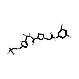 C[C@@H](NC(=O)C1CCN(CC(=O)Nc2cc(Cl)cc(Cl)c2)C1)c1ccc(OCC(F)(F)F)s1